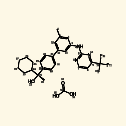 Cc1cc(Nc2nccc(C(F)(F)F)n2)cc(-c2ccc([C@](C)(O)C3CCCCC3)cc2)c1.O=C(O)O